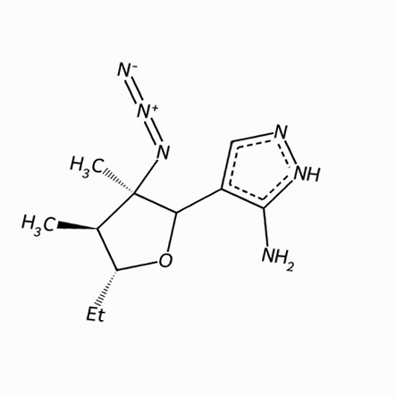 CC[C@H]1OC(c2cn[nH]c2N)[C@](C)(N=[N+]=[N-])[C@@H]1C